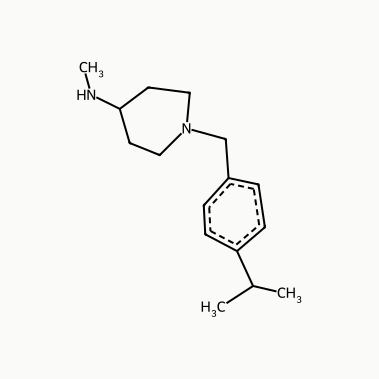 CNC1CCN(Cc2ccc(C(C)C)cc2)CC1